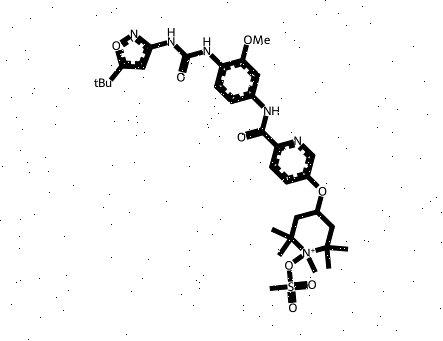 COc1cc(NC(=O)c2ccc(OC3CC(C)(C)[N+](C)(OS(C)(=O)=O)C(C)(C)C3)cn2)ccc1NC(=O)Nc1cc(C(C)(C)C)on1